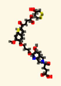 COc1cc2sc(C(=O)CCC(=O)O[C@H]3CSSC[C@@H]3O)cc2cc1OCCCOc1nc2c(cc1OC)CN(C(=O)CCC(=O)O)C2